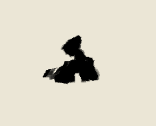 CC1(C)C2=C(CCC=C2)c2cc(-c3c4ccccc4c(-c4nccc5ccccc45)c4ccc(-c5ccc6ccccc6c5)cc34)ccc21